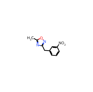 Cc1nc(Cc2cccc([N+](=O)[O-])c2)no1